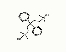 C[Si](C)(O)CO[Si](CO[Si](C)(C)O)(c1ccccc1)c1ccccc1